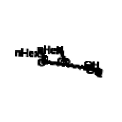 CCCCCCC(CCCCCC)CCOC(=O)CCCCCCCC(CCCCCCCC(O)OCC12CCC(CC1)CC2)OC(=O)CCCN(C)C